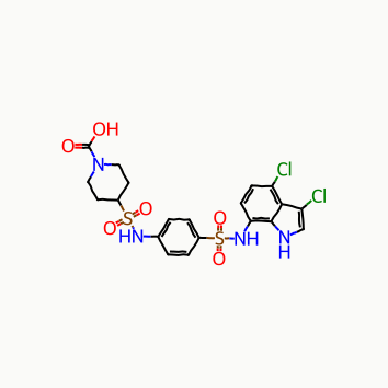 O=C(O)N1CCC(S(=O)(=O)Nc2ccc(S(=O)(=O)Nc3ccc(Cl)c4c(Cl)c[nH]c34)cc2)CC1